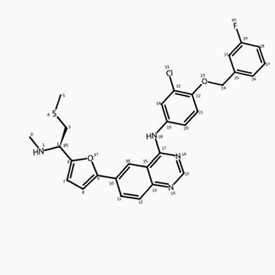 CN[C@@H](CSC)c1ccc(-c2ccc3ncnc(Nc4ccc(OCc5cccc(F)c5)c(Cl)c4)c3c2)o1